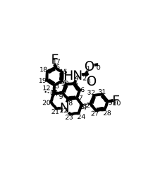 COC(=O)Nc1cc2c3c(c1)[C@](C)(c1ccc(F)cc1)CCN3CC[C@H]2c1ccc(F)cc1